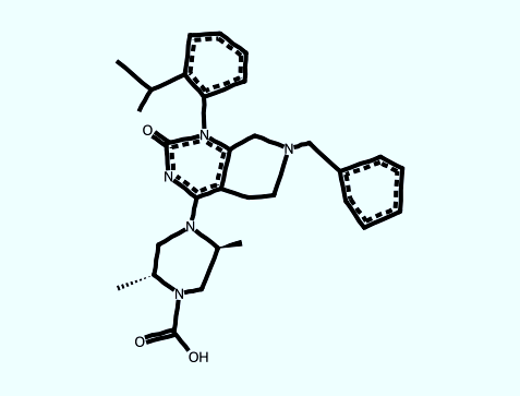 CC(C)c1ccccc1-n1c2c(c(N3C[C@@H](C)N(C(=O)O)C[C@@H]3C)nc1=O)CCN(Cc1ccccc1)C2